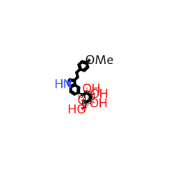 COc1ccc(CCc2c[nH]c3ccc([C@@H]4O[C@H](CO)[C@@H](O)[C@H](O)[C@H]4O)cc23)cc1